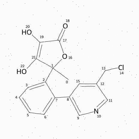 CC1(c2ccccc2-c2cncc(CCl)c2)OC(=O)C(O)=C1O